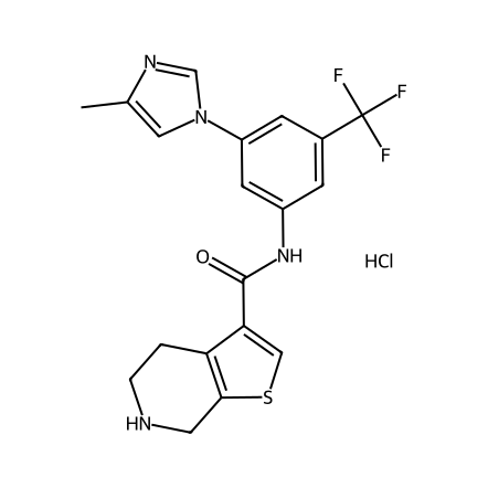 Cc1cn(-c2cc(NC(=O)c3csc4c3CCNC4)cc(C(F)(F)F)c2)cn1.Cl